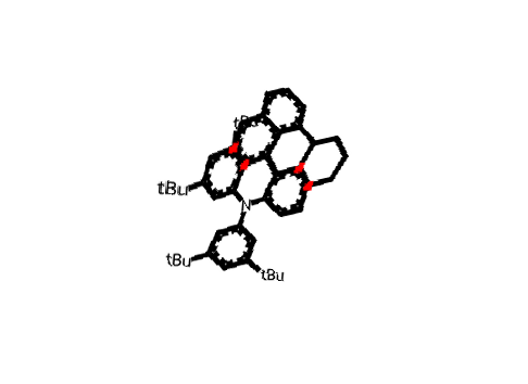 CC(C)(C)c1cc(N(c2cc(C(C)(C)C)cc(C(C)(C)C)c2)c2ccccc2-c2cccc3cccc(C4CCCCC4)c23)cc(C(C)(C)C)c1